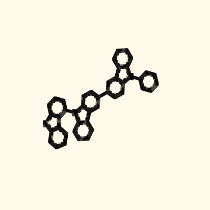 c1ccc(-n2c3ccccc3c3cc(-c4ccc5c(c4)c4ccccc4n5-c4cccc5sc6ccccc6c45)ccc32)cc1